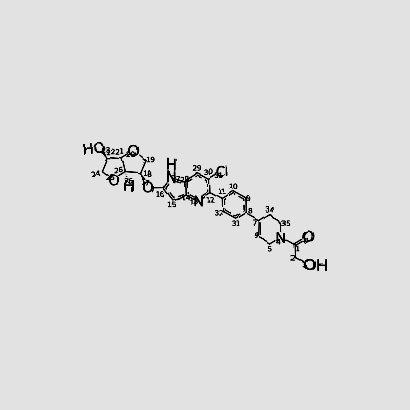 O=C(CO)N1CC=C(c2ccc(-c3nc4cc(O[C@@H]5COC6[C@H](O)CO[C@@H]65)[nH]c4cc3Cl)cc2)CC1